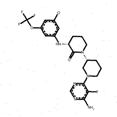 Nc1ncnc(N2CCC[C@@H](N3CCC[C@@H](Nc4cc(Cl)cc(OC(F)(F)F)c4)C3=O)C2)c1F